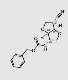 N#C[C@H]1CO[C@H]2[C@@H]1OC[C@@H]2NC(=O)OCc1ccccc1